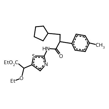 CCOC(=O)C(OCC)c1cnc(NC(=O)C(CC2CCCC2)c2ccc(C)cc2)s1